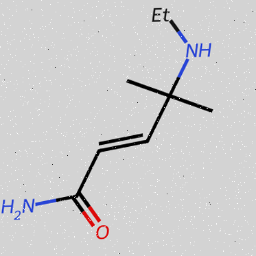 CCNC(C)(C)/C=C/C(N)=O